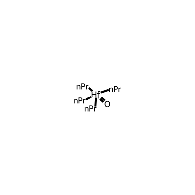 CC[CH2][Hf](=[O])([CH2]CC)([CH2]CC)[CH2]CC